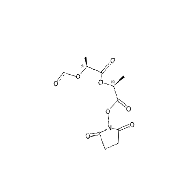 C[C@H](OC=O)C(=O)O[C@@H](C)C(=O)ON1C(=O)CCC1=O